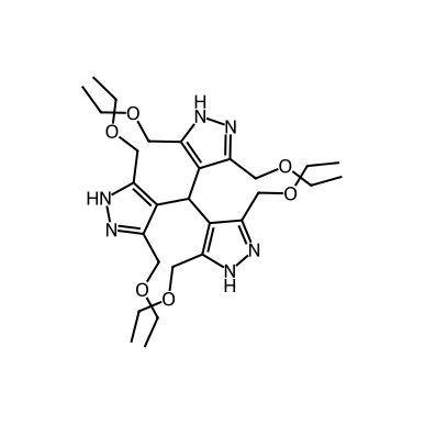 CCOCc1n[nH]c(COCC)c1C(c1c(COCC)n[nH]c1COCC)c1c(COCC)n[nH]c1COCC